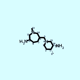 C[C@@H]1CCN(CC2CC[C@@H](N)CN(C)C2)C[C@@H]1N